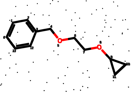 c1ccc(COCCOC2CC2)cc1